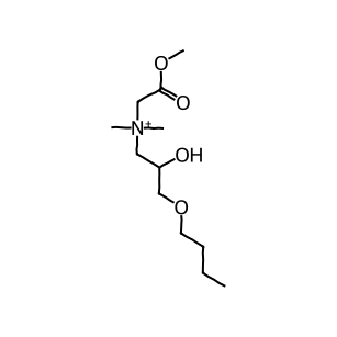 CCCCOCC(O)C[N+](C)(C)CC(=O)OC